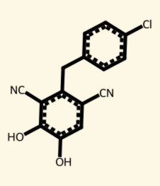 N#Cc1cc(O)c(O)c(C#N)c1Cc1ccc(Cl)cc1